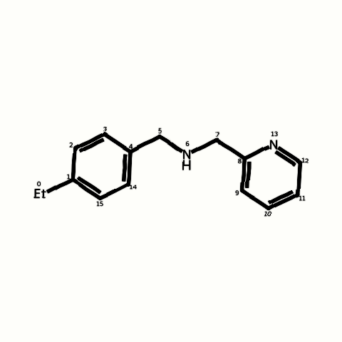 CCc1ccc(CNCc2ccccn2)cc1